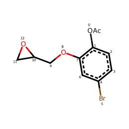 CC(=O)Oc1ccc(Br)cc1OCC1CO1